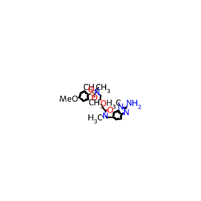 COc1cc(C)c(S(=O)(=O)N(C)CCOCC(=O)N(C)Cc2ccc3nc(N)n(C)c3c2)c(C)c1